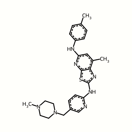 Cc1ccc(Nc2cc(C)c3nc(Nc4ccc(CN5CCN(C)CC5)cn4)sc3n2)cc1